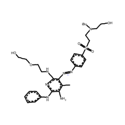 CCC(C)N(CCO)CCS(=O)(=O)c1ccc(/N=N/c2c(NCCOCCO)nc(Nc3ccccc3)c(N)c2C)cc1